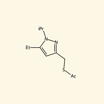 CCc1cc(CSC(C)=O)nn1C(C)C